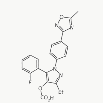 CCc1nn(-c2ccc(-c3noc(C)n3)cc2)c(-c2ccccc2F)c1OC(=O)O